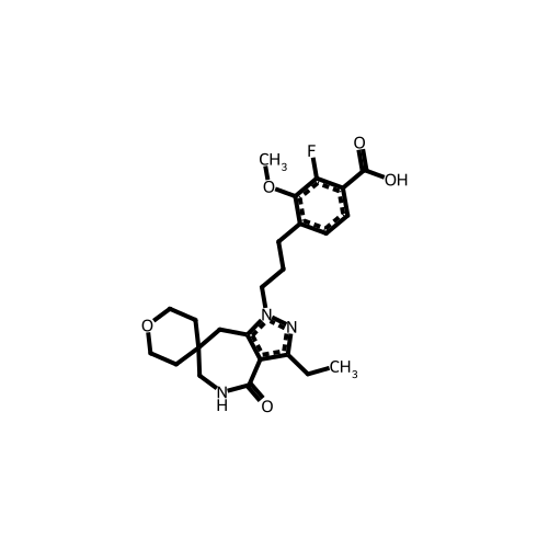 CCc1nn(CCCc2ccc(C(=O)O)c(F)c2OC)c2c1C(=O)NCC1(CCOCC1)C2